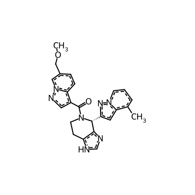 COCc1ccc2c(C(=O)N3CCc4[nH]cnc4[C@H]3c3cc4c(C)cccn4n3)cnn2c1